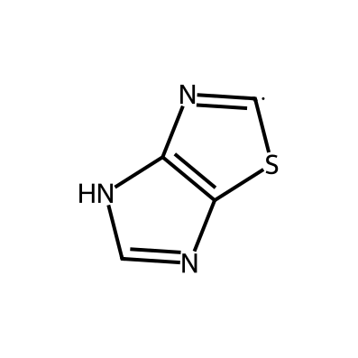 [c]1nc2[nH]cnc2s1